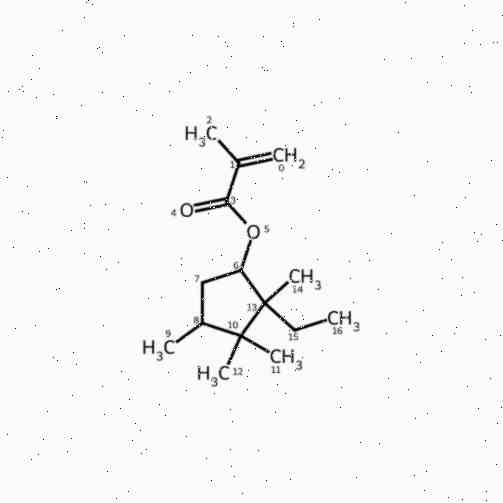 C=C(C)C(=O)OC1CC(C)C(C)(C)C1(C)CC